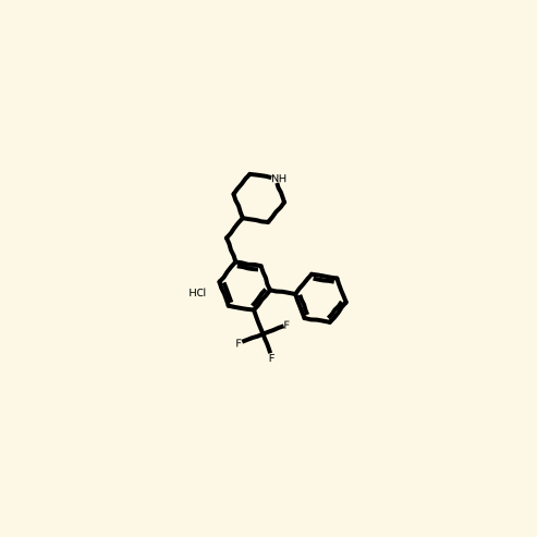 Cl.FC(F)(F)c1ccc(CC2CCNCC2)cc1-c1ccccc1